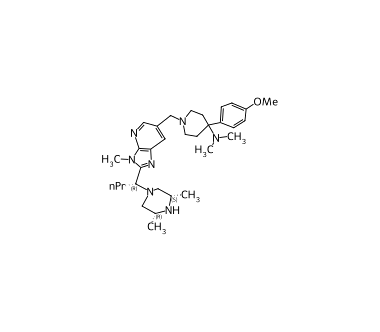 CCC[C@H](c1nc2cc(CN3CCC(c4ccc(OC)cc4)(N(C)C)CC3)cnc2n1C)N1C[C@@H](C)N[C@@H](C)C1